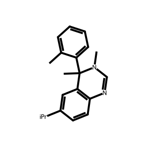 Cc1ccccc1C1(C)c2cc(C(C)C)ccc2N=CN1C